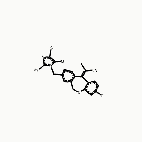 CC(C#N)=C1c2ccc(Cn3c(C(C)C)nc(Cl)c3Cl)cc2COc2cc(F)ccc21